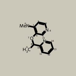 CNc1ccncc1OC(C)c1ccccn1